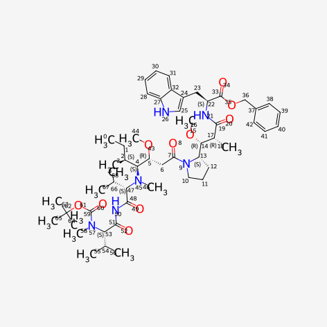 CC[C@H](C)[C@@H]([C@@H](CC(=O)N1CCC[C@H]1[C@H](OC)[C@@H](C)C(=O)N[C@@H](Cc1c[nH]c2ccccc12)C(=O)OCc1ccccc1)OC)N(C)[C@H](C(=O)NC(=O)[C@H](C(C)C)N(C)C(=O)OC(C)(C)C)C(C)C